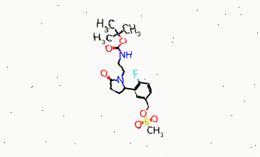 CC(C)(C)OC(=O)NCCN1C(=O)CCC1c1cc(COS(C)(=O)=O)ccc1F